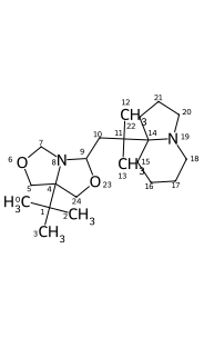 CC(C)(C)C12COCN1C(CC(C)(C)C13CCCCN1CCC3)OC2